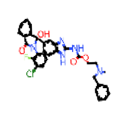 CN(CCOC(=O)Nc1nc2cc(C3(O)c4ccccc4C(=O)N3c3cccc(Cl)c3F)ccc2[nH]1)Cc1ccccc1